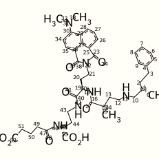 C[C@@H](CCc1ccccc1)CNCC[C@H](C)C(=O)N[C@H](CCN1C(=O)c2cccc3c(N(C)C)ccc(c23)C1=O)C(=O)NCC[C@@H](NC(=O)CCCC(=O)O)C(=O)O